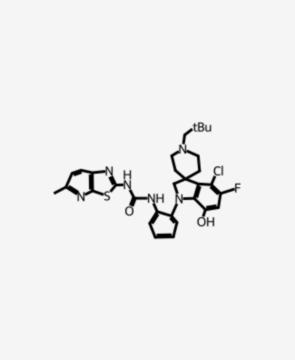 Cc1ccc2nc(NC(=O)Nc3ccccc3N3CC4(CCN(CC(C)(C)C)CC4)c4c(Cl)c(F)cc(O)c43)sc2n1